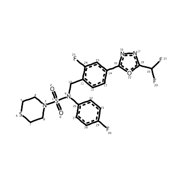 O=S(=O)(N1CCSCC1)N(Cc1ccc(-c2nnc(C(F)F)o2)cc1F)c1ccc(F)cc1